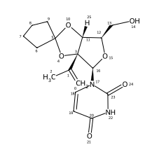 C=C(C)[C@@]12OC3(CCCC3)O[C@@H]1[C@@H](CO)O[C@H]2n1ccc(=O)[nH]c1=O